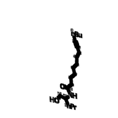 CCCCC#CCCCCCCCC(=O)NC(CO)CCC